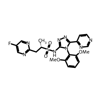 COc1cccc(OC)c1-n1c(NS(=O)(=O)[C@@H](C)Cc2ncc(F)cn2)nnc1-c1ccncn1